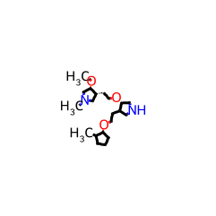 CO[C@H]1CN(C)C[C@H]1CCO[C@H]1CNCC1CCO[C@H]1CCCC1C